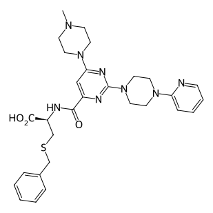 CN1CCN(c2cc(C(=O)N[C@@H](CSCc3ccccc3)C(=O)O)nc(N3CCN(c4ccccn4)CC3)n2)CC1